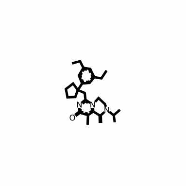 C=C1c2c(C)c(=O)nc(CC3(c4cc(CC)cc(CC)c4)CCCC3)n2CCN1C(C)C